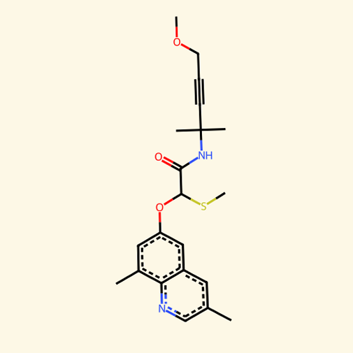 COCC#CC(C)(C)NC(=O)C(Oc1cc(C)c2ncc(C)cc2c1)SC